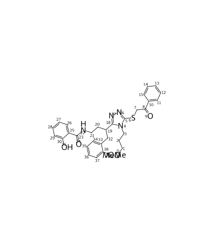 COCCCn1c(SCC(=O)c2ccccc2)nnc1C(CCNC(=O)c1ccccc1O)Cc1ccccc1OC